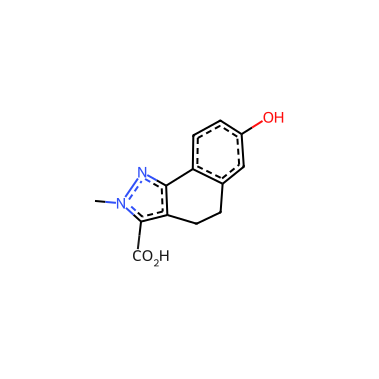 Cn1nc2c(c1C(=O)O)CCc1cc(O)ccc1-2